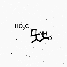 CC1CC(=O)N[C@]12C[C@@H](C(=O)O)C2